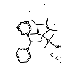 CC1=C(C)[C](CP(c2ccccc2)c2ccccc2)([Ti]([CH3])([CH3])[SiH3])C(C)=C1C.[Cl-].[Cl-]